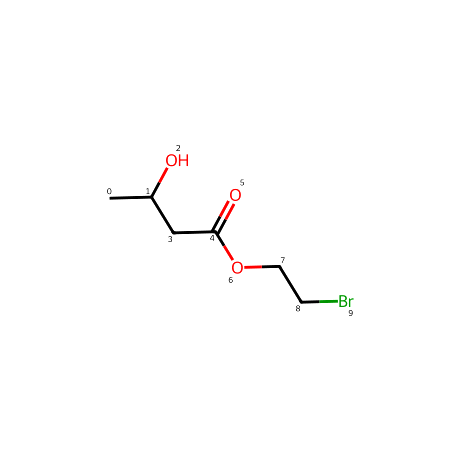 CC(O)CC(=O)OCCBr